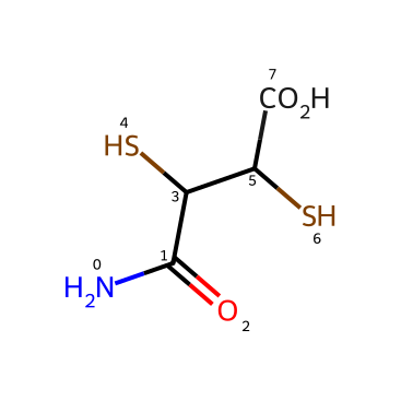 NC(=O)C(S)C(S)C(=O)O